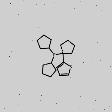 c1csc(C2(P(C3CCCC3)C3CCCC3)CCCC2)c1